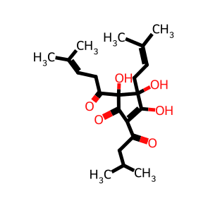 CC(C)=CCC(=O)C1(O)C(=O)C(C(=O)CC(C)C)=C(O)C1(O)CC=C(C)C